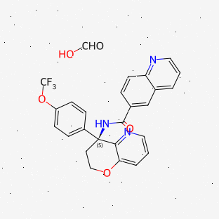 O=C(N[C@]1(c2ccc(OC(F)(F)F)cc2)CCOc2cccnc21)c1ccc2ncccc2c1.O=CO